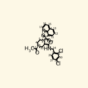 CC(=O)N1CCN(S(=O)(=O)c2cccc3cccnc23)C(C(=O)NCc2ccc(Cl)cc2Cl)C1